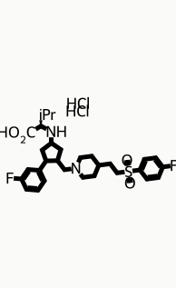 CC(C)[C@@H](NC1CC(CN2CCC(CCS(=O)(=O)c3ccc(F)cc3)CC2)C(c2cccc(F)c2)C1)C(=O)O.Cl.Cl